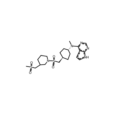 CN(c1ncnc2[nH]ccc12)[C@H]1CC[C@H](CS(=O)(=O)N2CCCC(CS(C)(=O)=O)C2)CC1